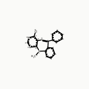 CN1c2ccccc2C(c2ccccc2)=Nc2c(Cl)ncnc21